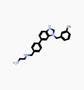 N#Cc1cccc(CN2CNc3ccc(-c4ccc(CNCCN)cc4)cc32)c1